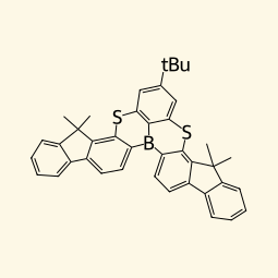 CC(C)(C)c1cc2c3c(c1)Sc1c(ccc4c1C(C)(C)c1ccccc1-4)B3c1ccc3c(c1S2)C(C)(C)c1ccccc1-3